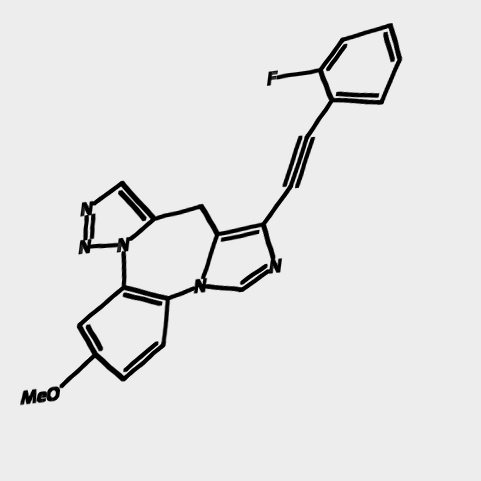 COc1ccc2c(c1)-n1nncc1Cc1c(C#Cc3ccccc3F)ncn1-2